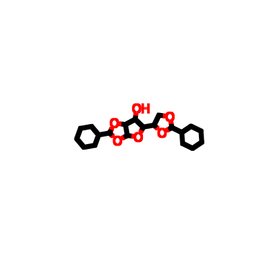 OC1C(C2COC(C3CCCCC3)O2)OC2OC(C3CCCCC3)OC21